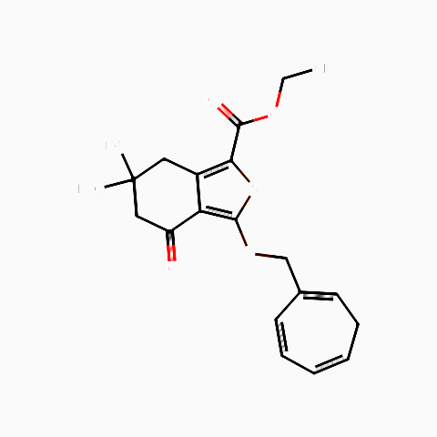 CCOC(=O)c1sc(SCC2=CCC=CC=C2)c2c1CC(C)(C)CC2=O